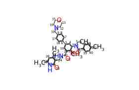 CCN(c1cc(-c2ccc(CN3CCOCC3)cc2)cc(C(=O)NCc2c(C)cc(C)[nH]c2=O)c1C)C(O)c1ccc(C)cc1